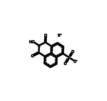 O=C1c2cccc3c(S(=O)(=O)[O-])ccc(c23)C(=O)N1O.[K+]